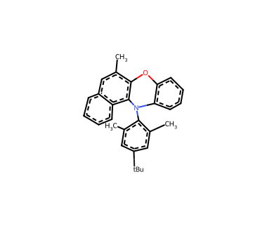 Cc1cc2ccccc2c2c1Oc1ccccc1N2c1c(C)cc(C(C)(C)C)cc1C